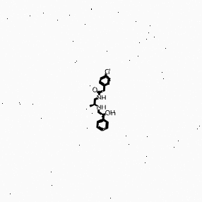 CC(CNC(=O)Cc1ccc(Cl)cc1)NCC(O)c1ccccc1